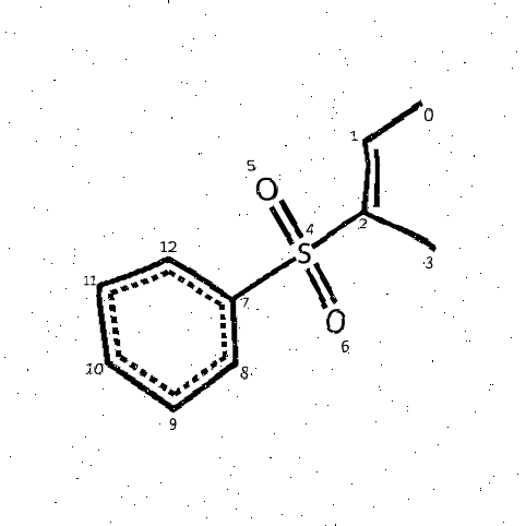 C/C=C(\C)S(=O)(=O)c1ccccc1